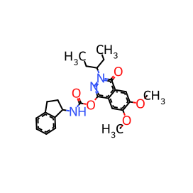 CCC(CC)n1nc(OC(=O)NC2CCc3ccccc32)c2cc(OC)c(OC)cc2c1=O